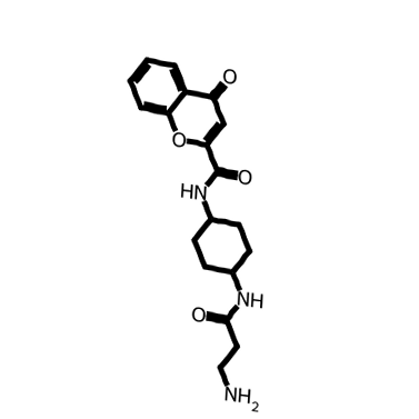 NCCC(=O)NC1CCC(NC(=O)c2cc(=O)c3ccccc3o2)CC1